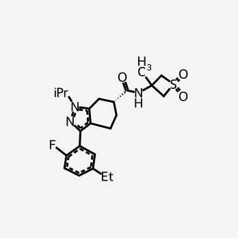 CCc1ccc(F)c(-c2nn(C(C)C)c3c2CC[C@@H](C(=O)NC2(C)CS(=O)(=O)C2)C3)c1